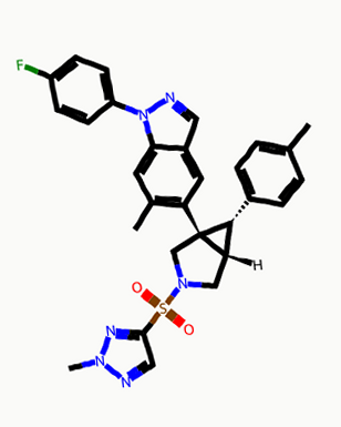 Cc1ccc([C@@H]2[C@@H]3CN(S(=O)(=O)c4cnn(C)n4)C[C@]23c2cc3cnn(-c4ccc(F)cc4)c3cc2C)cc1